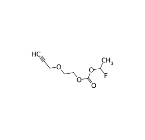 C#CCOCCOC(=O)OC(C)F